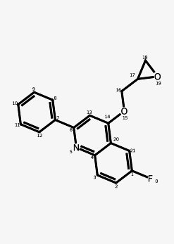 Fc1ccc2nc(-c3ccccc3)cc(OCC3CO3)c2c1